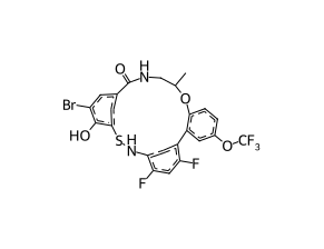 CC1CNC(=O)c2cc(Br)c(O)c(c2)SNc2cc(c(F)cc2F)-c2cc(OC(F)(F)F)ccc2O1